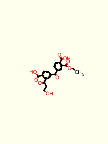 CCOC(=O)c1cc(C(=O)c2ccc(C(=O)O)c(C(=O)CCO)c2)ccc1C(=O)O